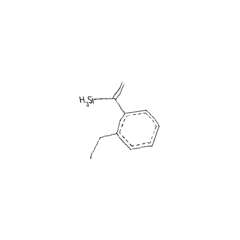 C=C([SiH3])c1ccccc1CI